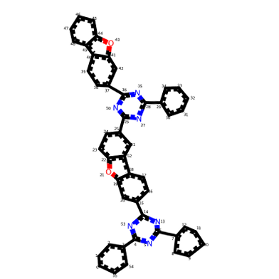 c1ccc(-c2nc(-c3ccccc3)nc(-c3ccc4c(c3)oc3ccc(-c5nc(-c6ccccc6)nc(-c6ccc7c(c6)oc6ccccc67)n5)cc34)n2)cc1